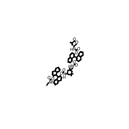 [CH2]CNC(=O)Oc1ccc2ccccc2c1-c1c(OC(=O)NC2CC(C)(C)CC(C)(CNC(=O)Oc3ccc4ccccc4c3-c3c(OC(=O)NCCOC(=O)C(=C)C)ccc4ccccc34)C2)ccc2ccccc12